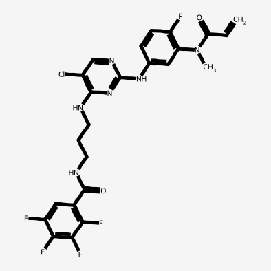 C=CC(=O)N(C)c1cc(Nc2ncc(Cl)c(NCCCNC(=O)c3cc(F)c(F)c(F)c3F)n2)ccc1F